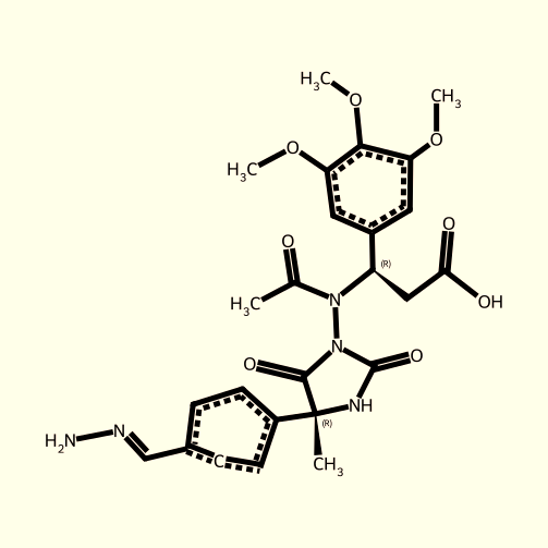 COc1cc([C@@H](CC(=O)O)N(C(C)=O)N2C(=O)N[C@](C)(c3ccc(C=NN)cc3)C2=O)cc(OC)c1OC